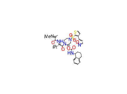 CN[C@@H](C)C(=O)N[C@H](C(=O)N1CCN(S(=O)(=O)c2sccc2-c2ccno2)C[C@@H]1OC(=O)NC1CCCc2ccccc21)C(C)C